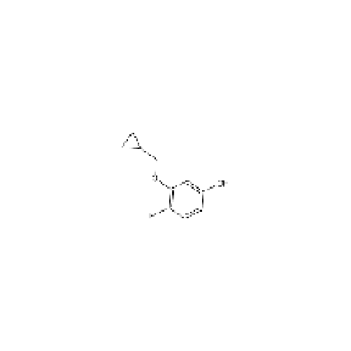 Oc1ccc(F)c(OCC2CC2)c1